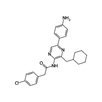 Nc1ccc(-c2cnc(NC(=O)Cc3ccc(Cl)cc3)c(CC3CCCCC3)n2)cc1